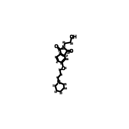 O=C1c2ccc(OCCCN3CCCCC3)cc2C(=O)N1CCO